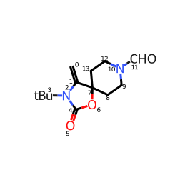 C=C1N(C(C)(C)C)C(=O)OC12CCN(C=O)CC2